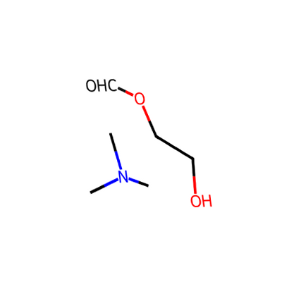 CN(C)C.O=COCCO